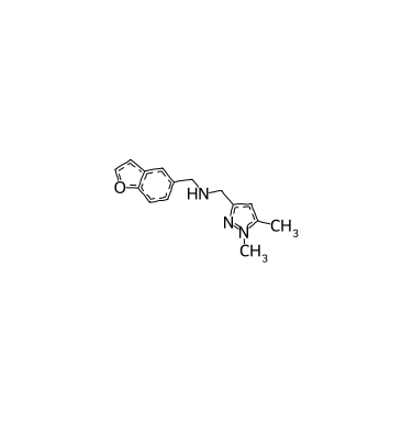 Cc1cc(CNCc2ccc3occc3c2)nn1C